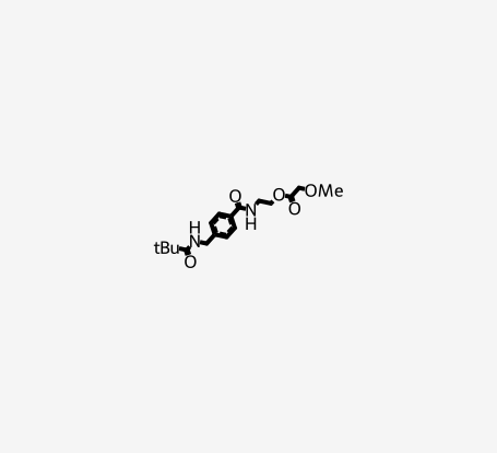 COCC(=O)OCCNC(=O)c1ccc(CNC(=O)C(C)(C)C)cc1